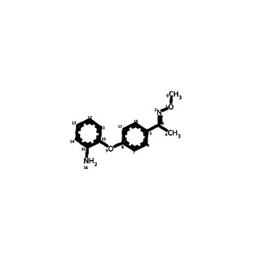 CON=C(C)c1ccc(Oc2ccccc2N)cc1